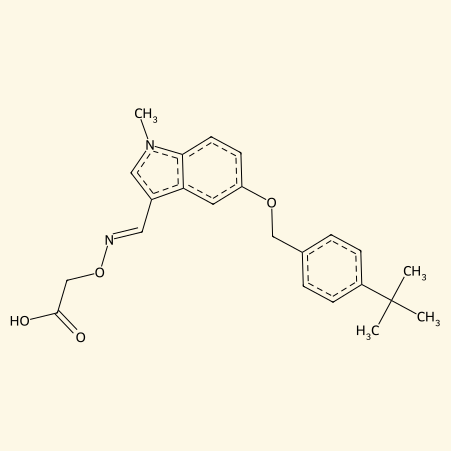 Cn1cc(C=NOCC(=O)O)c2cc(OCc3ccc(C(C)(C)C)cc3)ccc21